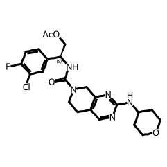 CC(=O)OC[C@@H](NC(=O)N1CCc2cnc(NC3CCOCC3)nc2C1)c1ccc(F)c(Cl)c1